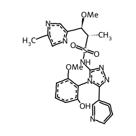 COc1cccc(O)c1-n1c(NS(=O)(=O)[C@@H](C)[C@H](OC)c2cnc(C)cn2)nnc1C1=C=C=CN=C1